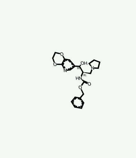 O=C(N[C@H](CN1CCCC1)[C@H](O)c1cnc2c(c1)OCCO2)OCc1ccccc1